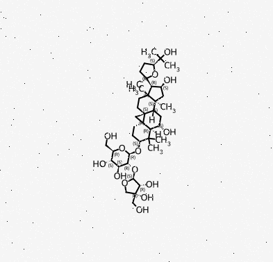 CC(C)(O)[C@@H]1CC[C@](C)([C@H]2[C@@H](O)C[C@@]3(C)[C@@H]4C[C@H](O)[C@H]5C(C)(C)[C@@H](O[C@@H]6O[C@H](CO)[C@@H](O)[C@H](O)[C@H]6O[C@@H]6OC[C@](O)(CO)[C@H]6O)CC[C@@]56C[C@@]46CC[C@]23C)O1